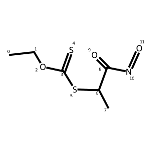 CCOC(=S)SC(C)C(=O)N=O